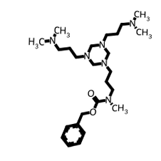 CN(C)CCCN1CN(CCCN(C)C)CN(CCCN(C)C(=O)OCc2ccccc2)C1